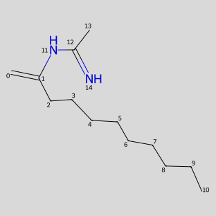 C=C(CCCCCCCCC)NC(C)=N